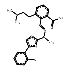 CN(C)CCc1cccc(C(=O)O)c1/C=N/N(C)c1nc(-c2ccccc2Cl)cs1